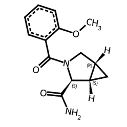 COc1ccccc1C(=O)N1C[C@@H]2C[C@@H]2[C@H]1C(N)=O